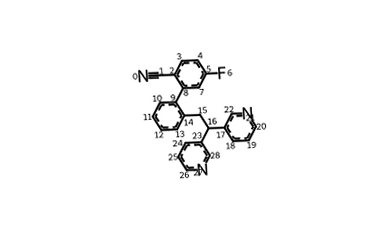 N#Cc1ccc(F)cc1-c1ccccc1CC(c1cccnc1)c1cccnc1